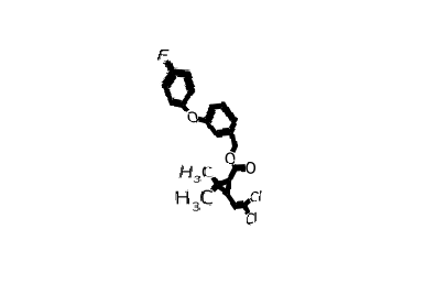 CC1(C)C(C=C(Cl)Cl)C1C(=O)OCc1cccc(Oc2ccc(F)cc2)c1